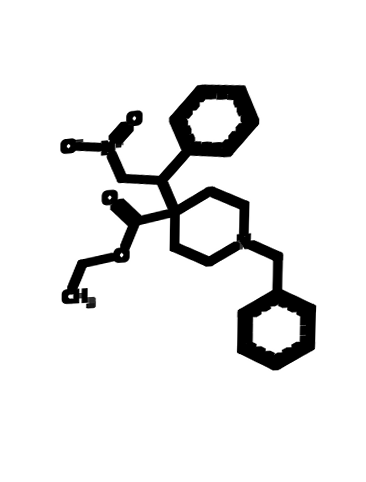 CCOC(=O)C1(C(C[N+](=O)[O-])c2ccccc2)CCN(Cc2ccccc2)CC1